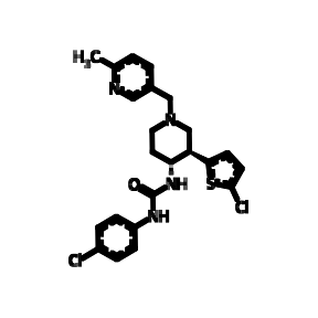 Cc1ccc(CN2CC[C@@H](NC(=O)Nc3ccc(Cl)cc3)[C@H](c3ccc(Cl)s3)C2)cn1